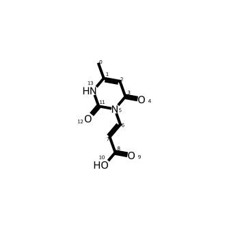 Cc1cc(=O)n(/C=C/C(=O)O)c(=O)[nH]1